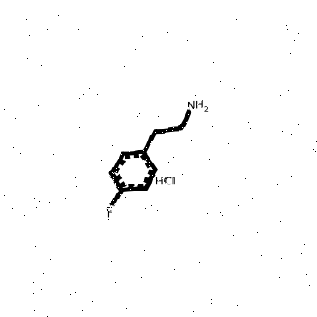 Cl.NCCc1ccc(F)cc1